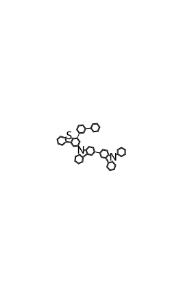 c1ccc(-c2cccc(-c3cc(-n4c5ccccc5c5cc(-c6ccc7c(c6)c6ccccc6n7-c6ccccc6)ccc54)cc4c3sc3ccccc34)c2)cc1